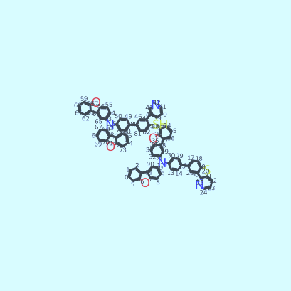 c1ccc2c(c1)oc1ccc(N(c3ccc(-c4ccc5sc6cccnc6c5c4)cc3)c3ccc4oc5c([SH]6c7ccncc7-c7cc(-c8ccc(N(c9ccc%10oc%11ccccc%11c%10c9)c9cccc%10oc%11ccccc%11c9%10)cc8)ccc76)cccc5c4c3)cc12